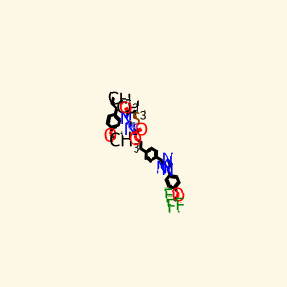 CCC(C)c1ccc(OC)cc1N1C(=O)CS/C1=N\C(=O)OCCc1ccc(-c2ncn(-c3ccc(OC(F)(F)F)cc3)n2)cc1